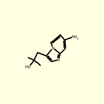 CC(C)(O)Cc1cnc2cc(N)ccn12